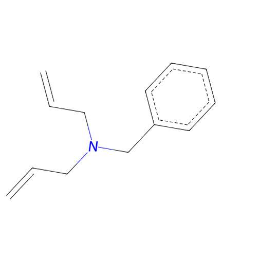 C=CCN(CC=C)Cc1ccccc1